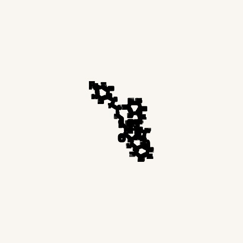 O=C(NCCCCCCc1ccc(F)cc1)C(Cc1ccccc1)N1C(=O)CC1[S+]([O-])Cc1ccccc1